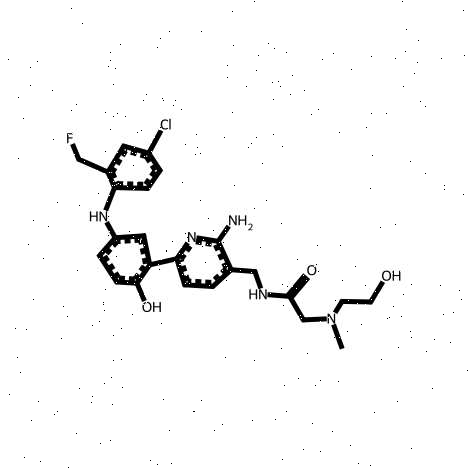 CN(CCO)CC(=O)NCc1ccc(-c2cc(Nc3ccc(Cl)cc3CF)ccc2O)nc1N